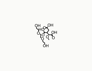 COC(C(=O)O)C(CC(=O)O)C(=O)O.OCCOCCOCCO